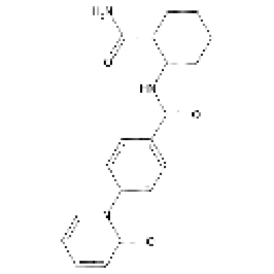 NC(=O)C1CCCCC1NC(=O)c1ccc(-n2ccccc2=O)cc1